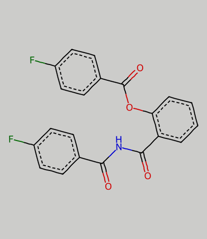 O=C(NC(=O)c1ccccc1OC(=O)c1ccc(F)cc1)c1ccc(F)cc1